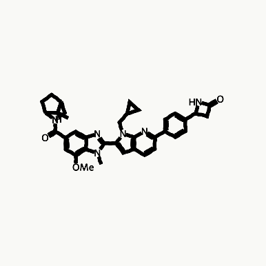 COc1cc(C(=O)N2CC3CCC2[C@@H]3C)cc2nc(-c3cc4ccc(-c5ccc(C6CC(=O)N6)cc5)nc4n3CC3CC3)n(C)c12